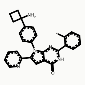 NC1(c2ccc(-n3c(-c4ccccn4)cc4c(=O)[nH]c(-c5ccccc5F)nc43)cc2)CCC1